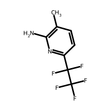 Cc1ccc(C(F)(F)C(F)(F)F)nc1N